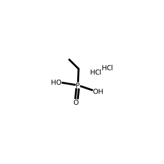 CCP(=O)(O)O.Cl.Cl